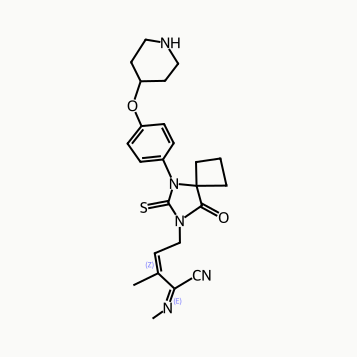 C/N=C(C#N)\C(C)=C/CN1C(=O)C2(CCC2)N(c2ccc(OC3CCNCC3)cc2)C1=S